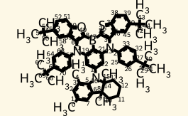 Cc1cc(C)c2c(c1)C1(C)CCCCC1(C)N2c1cc2c3c(c1)N(c1ccc(C(C)(C)C)cc1)c1c(sc4ccc(C(C)(C)C)cc14)B3c1oc3ccc(C(C)(C)C)cc3c1N2c1ccc(C(C)(C)C)cc1